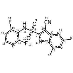 Cc1cc(C)n2nc(S(=O)(=O)Nc3c(F)cccc3F)c(C#N)c2n1